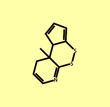 CC12CC=CN=C1SSC1=CC=CC12